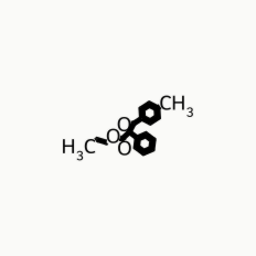 CCCOC(=O)C1(c2ccccc2)OC1c1ccc(C)cc1